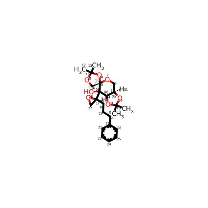 CC1(C)O[C@@H]2[C@@H](CO[C@]3(COC(C)(C)O3)[C@@]2(O)C2(CCCc3ccccc3)CO2)O1